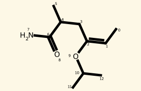 C/C=C(\CC(C)C(N)=O)OC(C)C